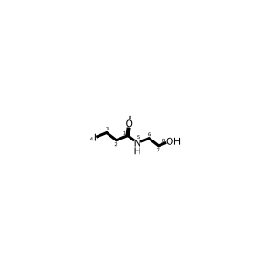 O=C(CCI)NCCO